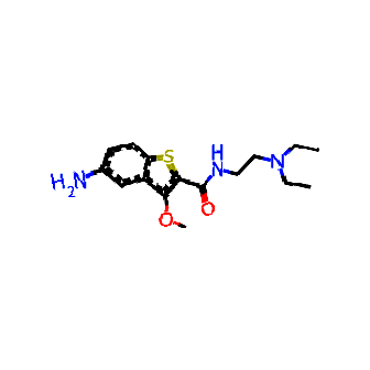 CCN(CC)CCNC(=O)c1sc2ccc(N)cc2c1OC